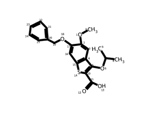 COc1cc2c(OC(C)C)c(C(=O)O)sc2cc1OCc1ccccc1